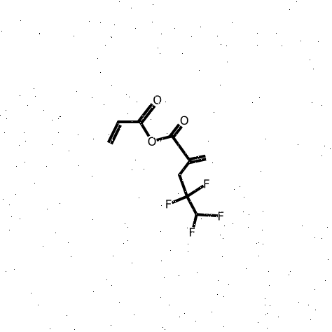 C=CC(=O)OC(=O)C(=C)CC(F)(F)C(F)F